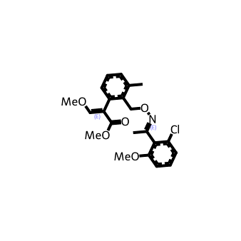 CO/C=C(/C(=O)OC)c1cccc(C)c1CO/N=C(\C)c1c(Cl)cccc1OC